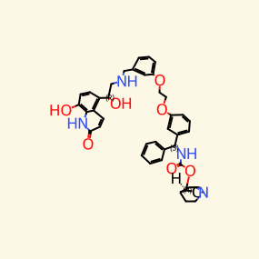 O=C(N[C@@H](c1ccccc1)c1cccc(OCCOc2cccc(CNC[C@H](O)c3ccc(O)c4[nH]c(=O)ccc34)c2)c1)O[C@H]1CN2CCC1CC2